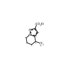 CCOC(=O)c1cc2n(n1)CCCC2C(F)(F)F